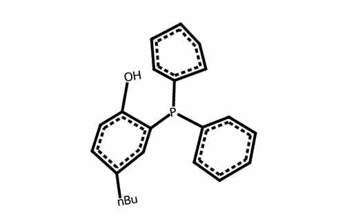 CCCCc1ccc(O)c(P(c2ccccc2)c2ccccc2)c1